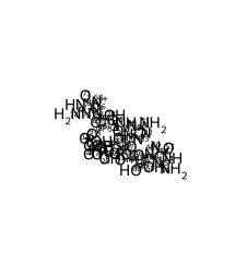 CNS(=O)(=O)C[C@@H]1[C@@H](COP(=O)(O)OP(=O)(O)OP(=O)(O)OCC2O[C@@H](n3cnc4c(N)ncnc43)[C@H](OC)[C@@H]2P(=O)(O)OC[C@H]2O[C@@H](n3cnc4c(=O)[nH]c(N)nc43)[C@H](O)[C@@H]2O)OC(n2c[n+](C)c3c(=O)[nH]c(N)nc32)[C@@H]1O